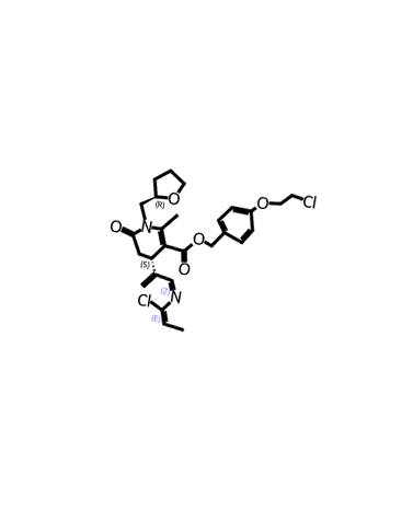 C=C(/C=N\C(Cl)=C/C)[C@@H]1CC(=O)N(C[C@H]2CCCO2)C(C)=C1C(=O)OCc1ccc(OCCCl)cc1